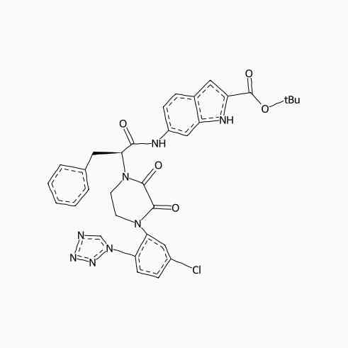 CC(C)(C)OC(=O)c1cc2ccc(NC(=O)[C@H](Cc3ccccc3)N3CCN(c4cc(Cl)ccc4-n4cnnn4)C(=O)C3=O)cc2[nH]1